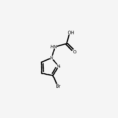 O=C(O)Nn1ccc(Br)n1